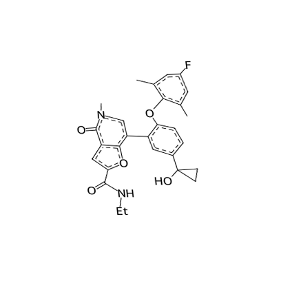 CCNC(=O)c1cc2c(=O)n(C)cc(-c3cc(C4(O)CC4)ccc3Oc3c(C)cc(F)cc3C)c2o1